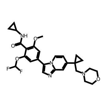 COc1cc(-c2cnc3cc(C4(CN5CCOCC5)CC4)ccn23)cc(OC(F)F)c1C(=O)NC1CC1